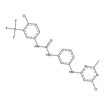 Cc1nc(Cl)cc(Nc2cccc(NC(=O)Nc3ccc(Cl)c(C(F)(F)F)c3)c2)n1